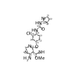 COC(=N)c1c(N)ncnc1Oc1ccc(NC(=O)Nc2nccs2)c(Cl)c1